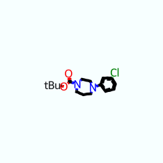 CC(C)(C)OC(=O)N1CCCN(c2cccc(Cl)c2)CC1